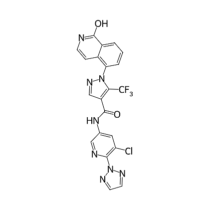 O=C(Nc1cnc(-n2nccn2)c(Cl)c1)c1cnn(-c2cccc3c(O)nccc23)c1C(F)(F)F